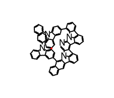 c1ccc(-n2c3ccccc3c3cc(-c4c5ccccc5cc5c6cccc7c8c9c%10cccc%11c%12cccc(-c%13ccc%14c(c%13)c%13ccccc%13n%14-c%13ccccc%13)c%12n(c9ncc8n(c45)c67)c%11%10)ccc32)cc1